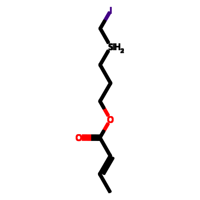 CC=CC(=O)OCCC[SiH2]CI